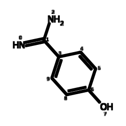 N=C(N)c1ccc(O)cc1